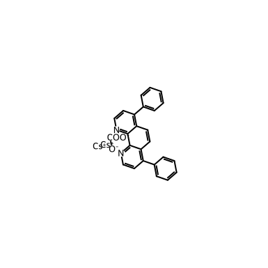 O=C([O-])[O-].[Cs+].[Cs+].c1ccc(-c2ccnc3c2ccc2c(-c4ccccc4)ccnc23)cc1